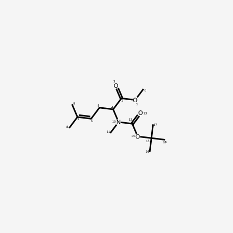 COC(=O)C(CC=C(C)C)N(C)C(=O)OC(C)(C)C